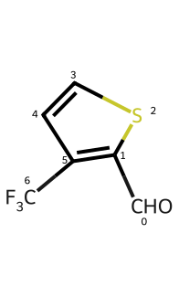 O=Cc1sccc1C(F)(F)F